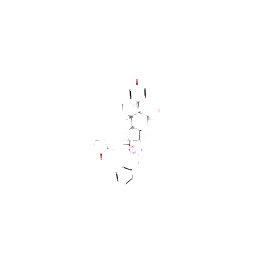 C[C@]12C=CC(=O)C=C1CC[C@@H]1[C@@H]2[C@@H](O)C[C@@]2(C)[C@H]1C[C@H]1CN(Cc3ccccc3)O[C@]12C(=O)CSC1CCOC1=O